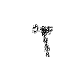 CCN(C(=O)C(CC(=O)N1CCN(c2ccc(C#N)cn2)CC1)C(=O)NS(=O)(=O)/C=C/c1ccccc1)c1ccccc1